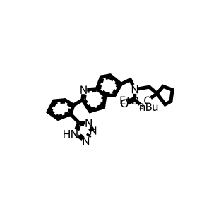 CCCCC(=O)N(Cc1ccc2nc(-c3ccccc3-c3nnn[nH]3)ccc2c1)CC1(C(=O)OCC)CCCC1